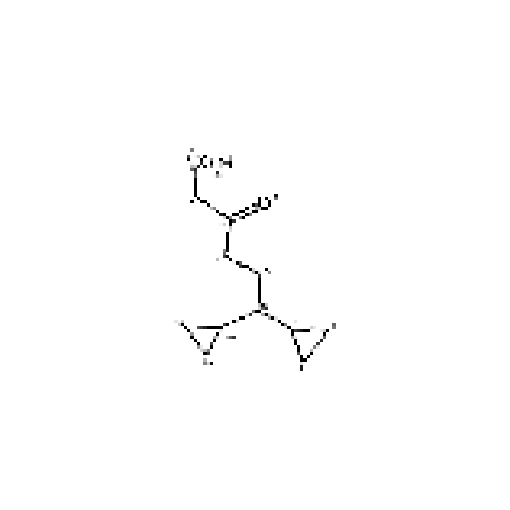 O=C(O)CC(=O)CCC(C1CC1)C1CC1